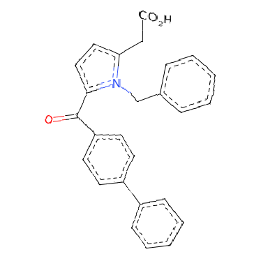 O=C(O)Cc1ccc(C(=O)c2ccc(-c3ccccc3)cc2)n1Cc1ccccc1